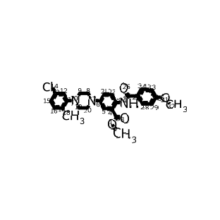 COC(=O)c1cc(N2CCN(c3cc(Cl)ccc3C)CC2)ccc1NC(=O)c1ccc(OC)cc1